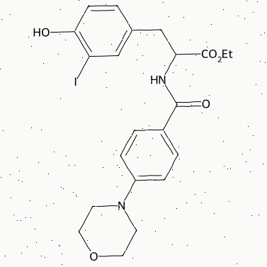 CCOC(=O)C(Cc1ccc(O)c(I)c1)NC(=O)c1ccc(N2CCOCC2)cc1